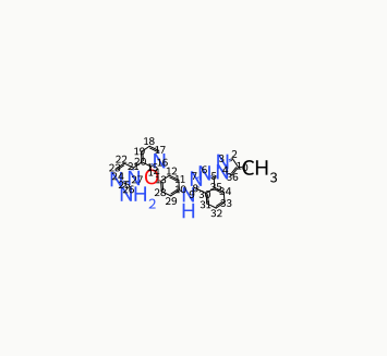 Cc1cnn(-c2nnc(Nc3ccc(Oc4ncccc4-c4ccnc(N)n4)cc3)c3ccccc23)c1